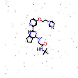 CN(CC(=O)NC(C)(C)C)c1nc(-c2cc(OCCn3ccnc3)ccn2)nc2c1CCC2